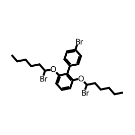 CCCCCC(Br)Oc1cccc(OC(Br)CCCCC)c1-c1ccc(Br)cc1